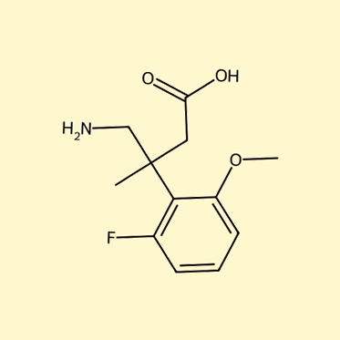 COc1cccc(F)c1C(C)(CN)CC(=O)O